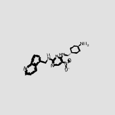 N[C@H]1CC[C@H](CNc2nc(NCc3cccc4ncccc34)ncc2[N+](=O)[O-])CC1